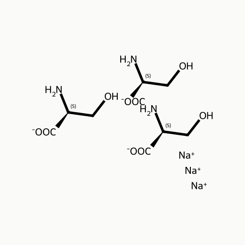 N[C@@H](CO)C(=O)[O-].N[C@@H](CO)C(=O)[O-].N[C@@H](CO)C(=O)[O-].[Na+].[Na+].[Na+]